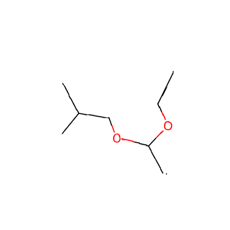 [CH2]C(OCC)OCC(C)C